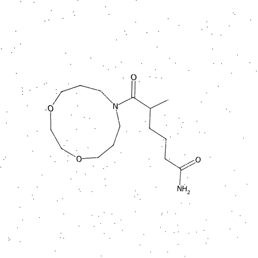 CC(CCCC(N)=O)C(=O)N1CCCOCCOCCC1